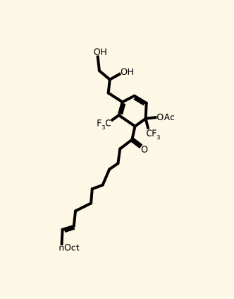 CCCCCCCCC=CCCCCCCCC(=O)C1C(C(F)(F)F)=C(CC(O)CO)C=CC1(OC(C)=O)C(F)(F)F